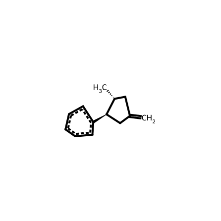 C=C1C[C@@H](C)[C@H](c2ccccc2)C1